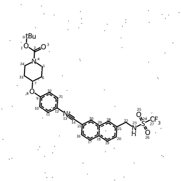 CC(C)(C)OC(=O)N1CCC(Oc2ccc([N+]#Cc3ccc4ccc(CNS(=O)(=O)C(F)(F)F)cc4c3)cc2)CC1